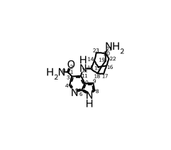 NC(=O)c1cnc2[nH]ccc2c1NC1C2CC3CC1CC(N)(C3)C2